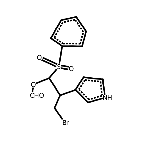 O=COC(C(CBr)c1cc[nH]c1)S(=O)(=O)c1ccccc1